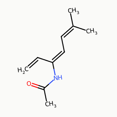 C=C/C(=C\C=C(C)C)NC(C)=O